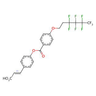 O=C(O)/C=C/c1ccc(OC(=O)c2ccc(OCCC(F)(F)C(F)(F)C(F)(F)C(F)(F)F)cc2)cc1